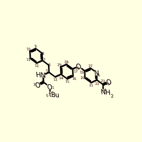 CC(C)(C)OC(=O)NC(Cc1ccccc1)Cc1ccc(Oc2ccc(C(N)=O)nc2)cc1